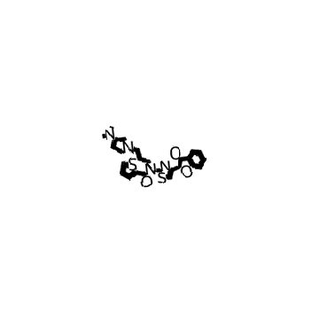 CN(C)C1CCN(CCCN(C(=O)c2cccs2)c2nc(C3Oc4ccccc4C3=O)cs2)C1